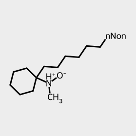 CCCCCCCCCCCCCCCC1([NH+](C)[O-])CCCCC1